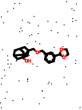 OC12CC3CC(C1)CC(COCc1cccc(C4OCCO4)c1)(C3)C2